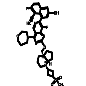 C#Cc1c(F)ccc2cc(O)cc(-c3ncc4c(N5CCCOCC5)nc(OC[C@]56CCC[C@H]5N(C5CC(S(C)(=O)=O)C5)CCC6)nc4c3F)c12